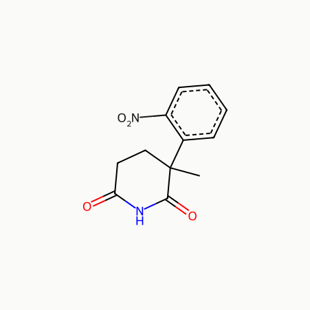 CC1(c2ccccc2[N+](=O)[O-])CCC(=O)NC1=O